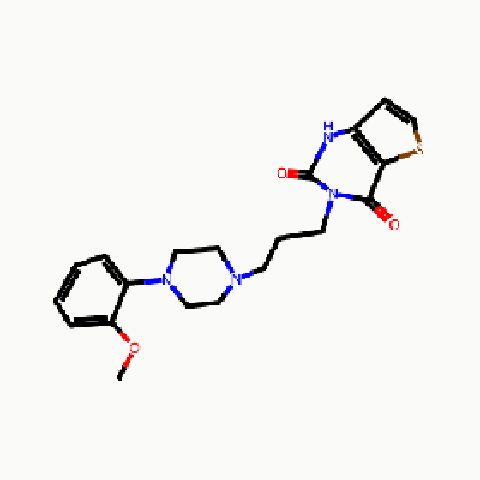 COc1ccccc1N1CCN(CCCn2c(=O)[nH]c3ccsc3c2=O)CC1